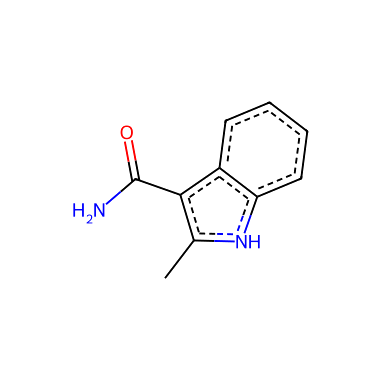 Cc1[nH]c2ccccc2c1C(N)=O